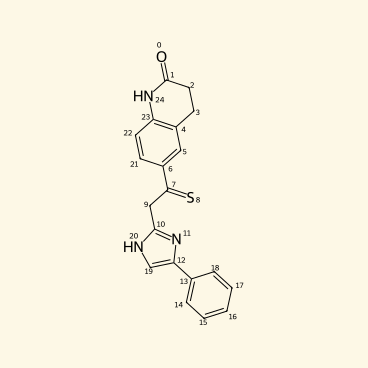 O=C1CCc2cc(C(=S)Cc3nc(-c4ccccc4)c[nH]3)ccc2N1